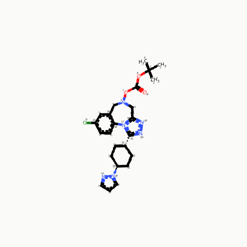 CC(C)(C)OC(=O)ON1Cc2cc(Cl)ccc2-n2c(nnc2[C@H]2CC[C@H](n3cccn3)CC2)C1